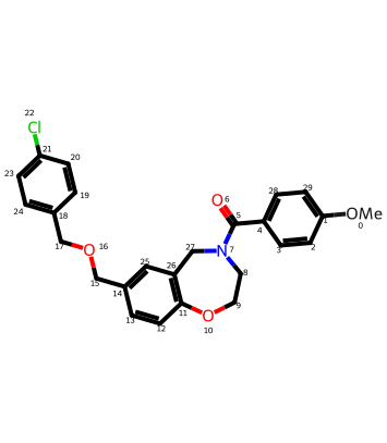 COc1ccc(C(=O)N2CCOc3ccc(COCc4ccc(Cl)cc4)cc3C2)cc1